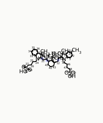 Cc1ccc2c(c1)C(C)(C)C(/C=C/C1=C(C(C)(C)C)C(=C/C=C3/N(CCCCS(=O)(=O)O)c4ccccc4C3(C)C)/CCC1)=[N+]2CCCCS(=O)(=O)O